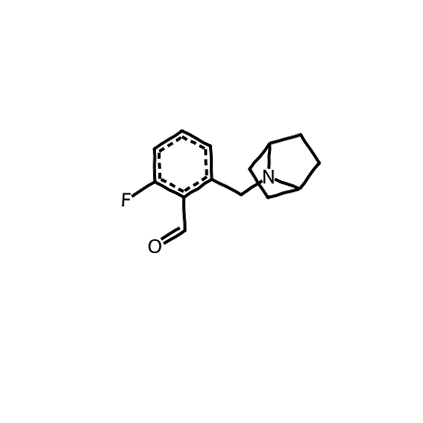 O=Cc1c(F)cccc1CN1C2CCC1CC2